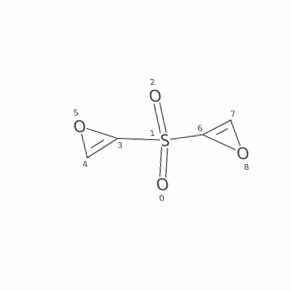 O=S(=O)(C1=CO1)C1=CO1